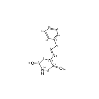 O=C1CN(N=CCc2ccccc2)C(=O)CN1